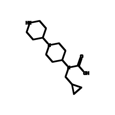 O=C(O)N(CC1CC1)C1CCN(C2CCNCC2)CC1